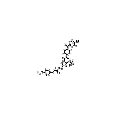 Nc1ccc(CCC(=O)NCc2cc3cc(-c4ccc(C(=O)N5CCC(Cl)CC5)cc4)cc(C(F)(F)F)c3o2)cn1